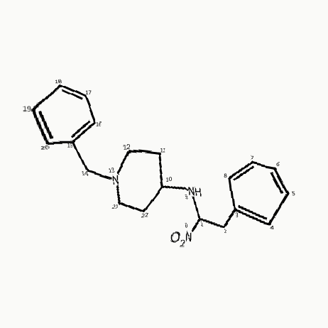 O=[N+]([O-])C(Cc1ccccc1)NC1CCN(Cc2ccccc2)CC1